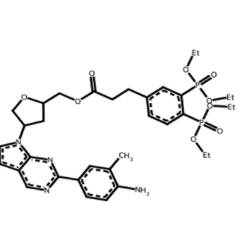 CCOP(=O)(OCC)c1ccc(CCC(=O)OCC2CC(n3ccc4cnc(-c5ccc(N)c(C)c5)nc43)CO2)cc1P(=O)(OCC)OCC